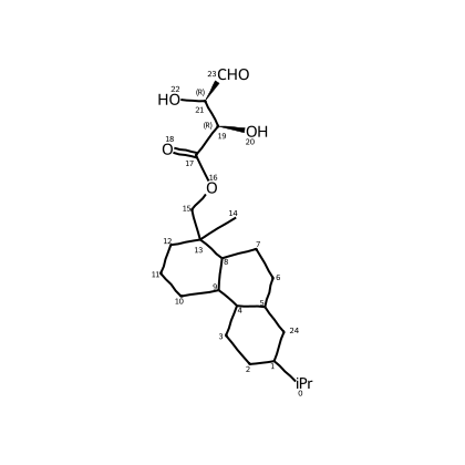 CC(C)C1CCC2C(CCC3C2CCCC3(C)COC(=O)[C@H](O)[C@@H](O)C=O)C1